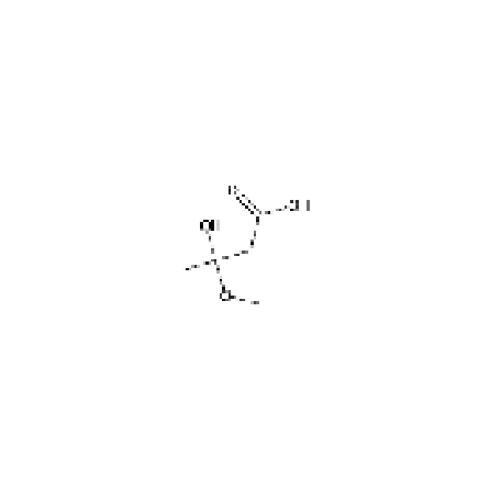 COC(C)(O)CC(=O)O